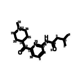 CC(C)CC(=O)Nc1cccc(C(=O)C2CCN(C)CC2)n1